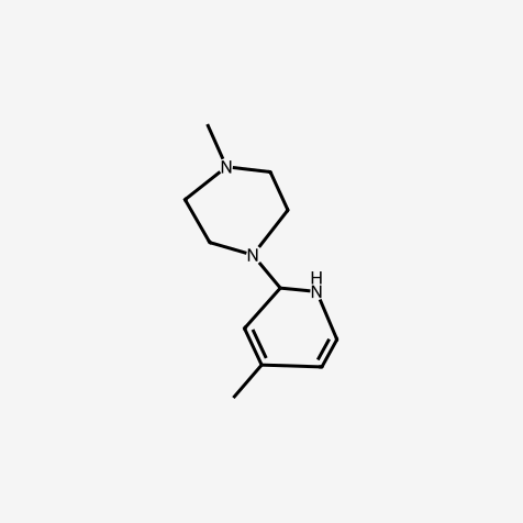 CC1=CC(N2CCN(C)CC2)NC=C1